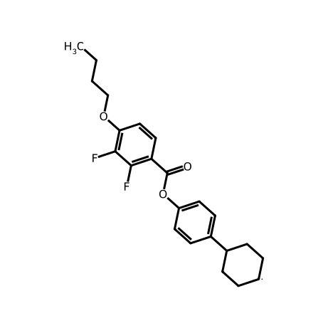 CCCCOc1ccc(C(=O)Oc2ccc(C3CC[CH]CC3)cc2)c(F)c1F